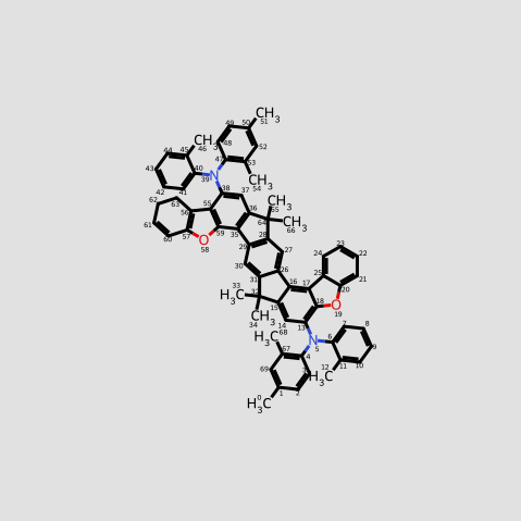 Cc1ccc(N(c2ccccc2C)c2cc3c(c4c2oc2ccccc24)-c2cc4c(cc2C3(C)C)-c2c(cc(N(c3ccccc3C)c3ccc(C)cc3C)c3c5c(oc23)C=CCC5)C4(C)C)c(C)c1